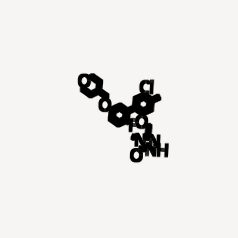 Cc1cc(OCc2n[nH]c(=O)n2C)c(-c2cc(OCC3CCOCC3)ccc2F)cc1Cl